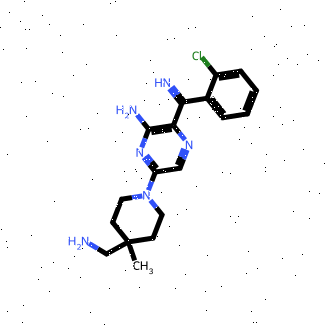 CC1(CN)CCN(c2cnc(C(=N)c3ccccc3Cl)c(N)n2)CC1